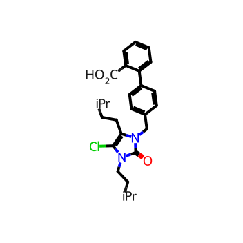 CC(C)CCc1c(Cl)n(CCC(C)C)c(=O)n1Cc1ccc(-c2ccccc2C(=O)O)cc1